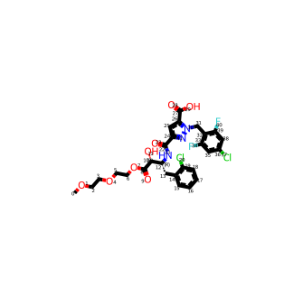 COCCOCCOC(=O)[C@H](O)[C@@H](Cc1ccccc1Cl)NC(=O)c1cc(C(=O)O)n(Cc2c(F)cc(Cl)cc2F)n1